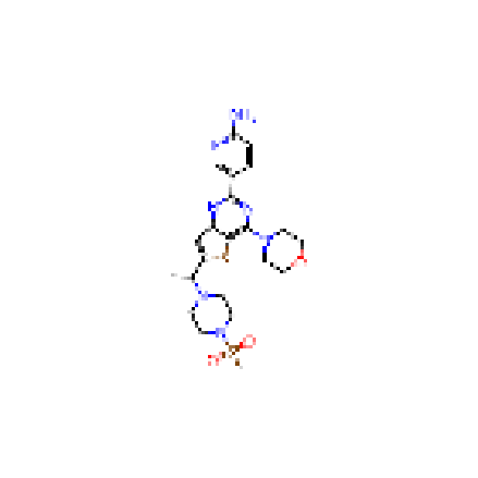 CC(c1cc2nc(-c3ccc(N)nc3)nc(N3CCOCC3)c2s1)N1CCN(S(C)(=O)=O)CC1